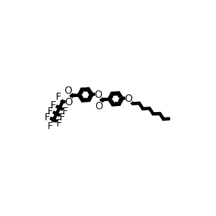 CCCCCCCCOc1ccc(C(=O)Oc2ccc(C(=O)OC(F)C(F)(F)C(F)(F)C(F)(F)F)cc2)cc1